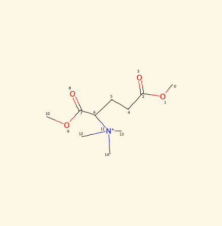 COC(=O)CCC(C(=O)OC)[N+](C)(C)C